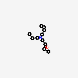 c1ccc(-c2cccc(-c3ccc(N(c4ccc(-c5ccc6ccc7ccccc7c6c5)cc4)c4ccc(-c5ccc6oc7c(-c8ccccc8)cccc7c6c5)cc4)cc3)c2)cc1